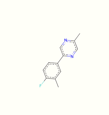 Cc1cnc(-c2ccc(F)c(C)c2)cn1